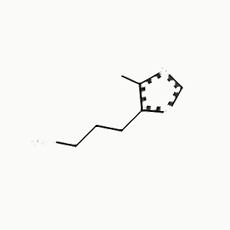 COCCCc1scnc1C(=O)O